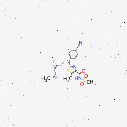 C/C=C\C=C(\F)CCN(c1ccc(C#N)cc1)c1nc(C(=O)NS(C)(=O)=O)c(C)s1